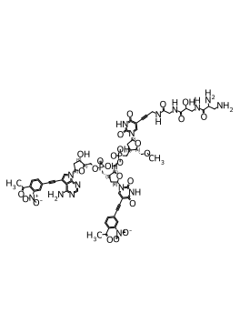 COC[C@H]1O[C@@H](n2cc(C#CCNC(=O)CNC(=O)C(O)CNC(=O)C(N)CN)c(=O)[nH]c2=O)C[C@@H]1CP(=O)(O)OC[C@H]1O[C@@H](n2cc(C#Cc3ccc(C(C)=O)c([N+](=O)[O-])c3)c(=O)[nH]c2=O)C[C@@H]1CP(=O)(O)OC[C@H]1O[C@@H](n2cc(C#Cc3ccc(C(C)=O)c([N+](=O)[O-])c3)c3c(N)ncnc32)C[C@@H]1O